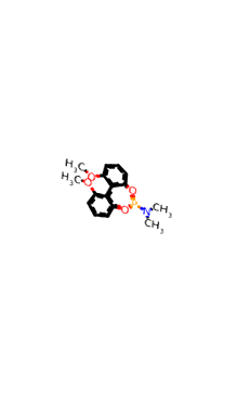 COc1cccc2op(N(C)C)oc3cccc(OC)c3c12